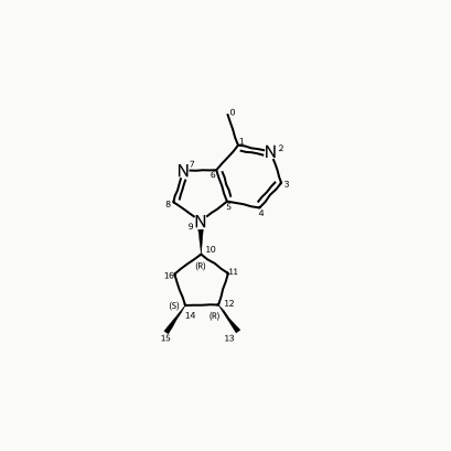 Cc1nccc2c1ncn2[C@H]1C[C@@H](C)[C@@H](C)C1